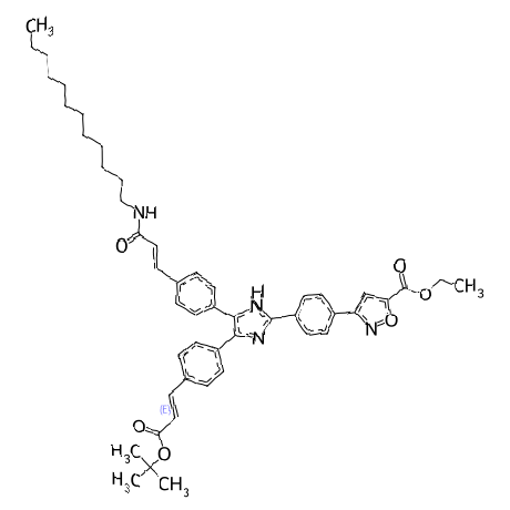 CCCCCCCCCCCCNC(=O)C=Cc1ccc(-c2[nH]c(-c3ccc(-c4cc(C(=O)OCC)on4)cc3)nc2-c2ccc(/C=C/C(=O)OC(C)(C)C)cc2)cc1